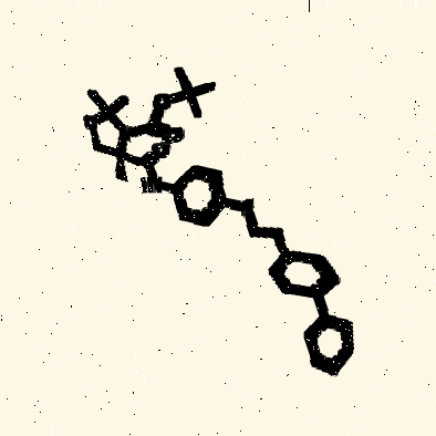 CC(C)(C)OC(=O)N1C(C)(C)OC[C@@]1(C)C(=O)Nc1ccc(SCCc2ccc(-c3ccccc3)cc2)cc1